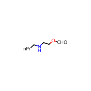 CCCCNCCOC=O